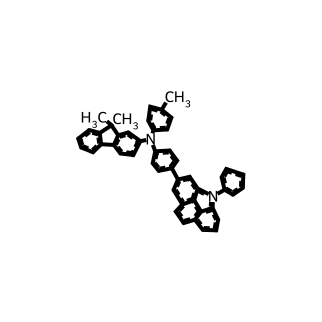 Cc1ccc(N(c2ccc(-c3cc4ccc5cccc6c5c4c(c3)n6-c3ccccc3)cc2)c2ccc3c(c2)C(C)(C)c2ccccc2-3)cc1